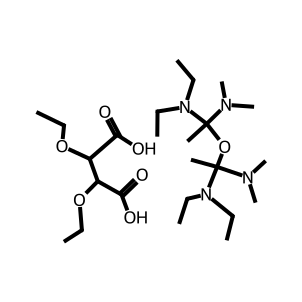 CCN(CC)C(C)(OC(C)(N(C)C)N(CC)CC)N(C)C.CCOC(C(=O)O)C(OCC)C(=O)O